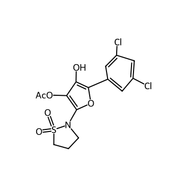 CC(=O)Oc1c(N2CCCS2(=O)=O)oc(-c2cc(Cl)cc(Cl)c2)c1O